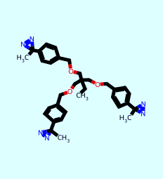 CCC(COCc1ccc(C2(C)N=N2)cc1)(COCc1ccc(C2(C)N=N2)cc1)COCc1ccc(C2(C)N=N2)cc1